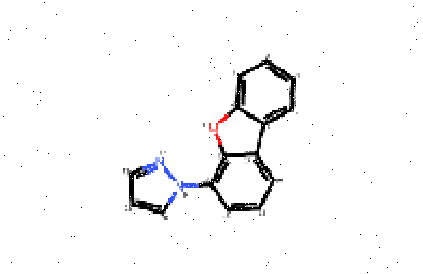 c1ccc2c(c1)oc1c(-n3cccn3)cccc12